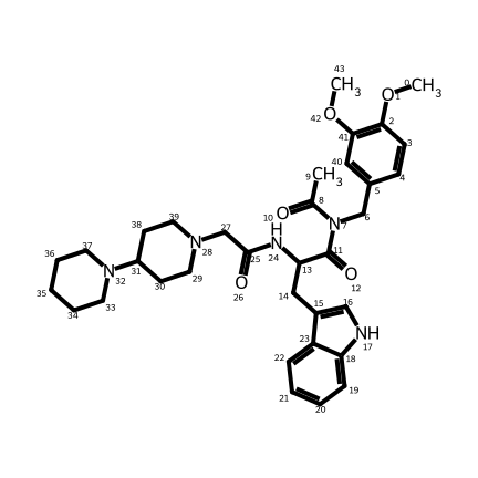 COc1ccc(CN(C(C)=O)C(=O)C(Cc2c[nH]c3ccccc23)NC(=O)CN2CCC(N3CCCCC3)CC2)cc1OC